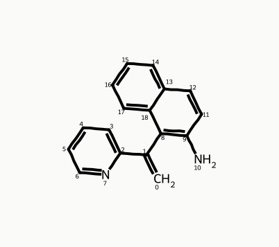 C=C(c1ccccn1)c1c(N)ccc2ccccc12